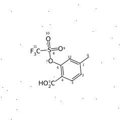 Cc1ccc(C(=O)O)c(OS(=O)(=O)C(F)(F)F)c1